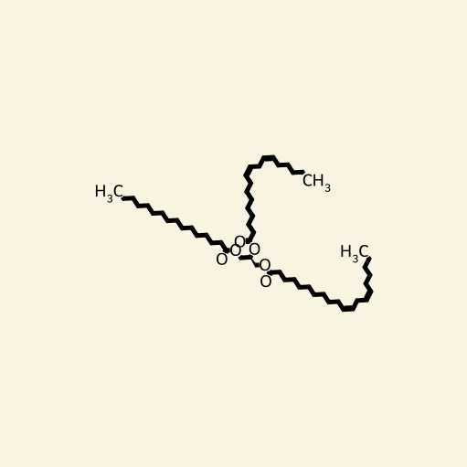 CCCCC/C=C\C/C=C\CCCCCCCCCC(=O)OC[C@@H](COC(=O)CCCCCCCCCCCCCCC)OC(=O)CCCCCCC/C=C\C/C=C\CCCCC